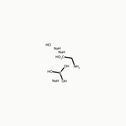 Cl.NCC(=O)O.OB(O)O.[NaH].[NaH].[NaH]